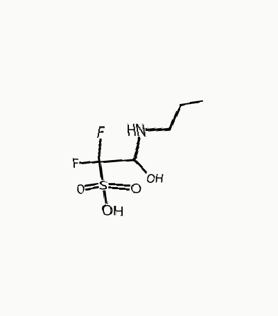 CCCNC(O)C(F)(F)S(=O)(=O)O